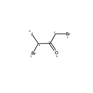 O=C(CBr)C(Br)I